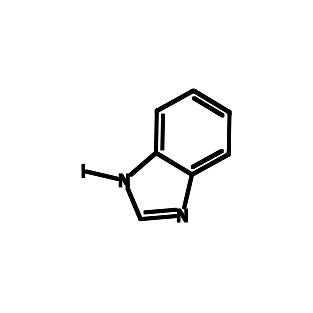 In1cnc2ccccc21